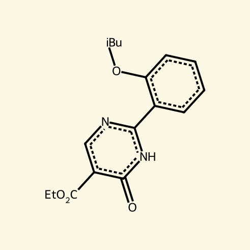 CCOC(=O)c1cnc(-c2ccccc2OC(C)CC)[nH]c1=O